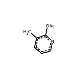 CC(=O)Oc1ncccc1C